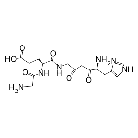 NCC(=O)N[C@@H](CCC(=O)O)C(=O)NCC(=O)CC(=O)[C@@H](N)Cc1c[nH]cn1